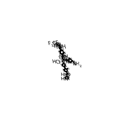 Cc1cc(C(=O)N[C@@H]2CCNC2)ccc1-c1ccc(C[C@H](NC(=O)C2CCC(CN)CC2)C(=O)Nc2ccc(-c3nc(C(F)(F)C(F)(F)F)n[nH]3)cc2)cc1.Cl